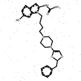 N#Cc1ccc2cc(NC(N)=O)n(CCCCN3CCN(C4=COC(Cc5ccccc5)O4)CC3)c2c1